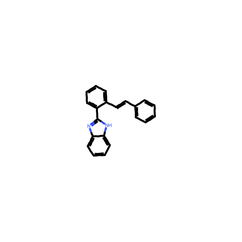 C(=C\c1ccccc1-c1nc2ccccc2[nH]1)/c1ccccc1